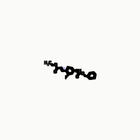 CCOC(=O)/C=C/c1ccc(NC(=O)OCc2ccccc2)cc1F